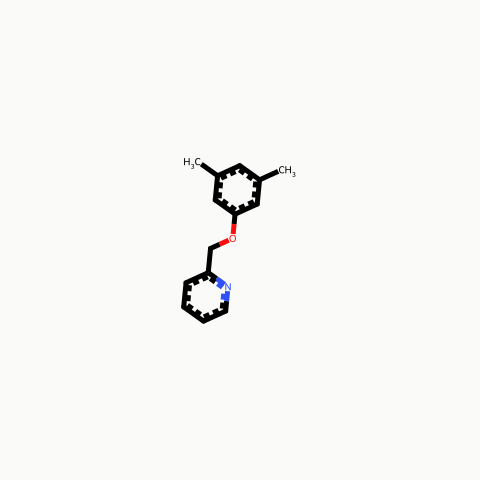 Cc1cc(C)cc(OCc2ccccn2)c1